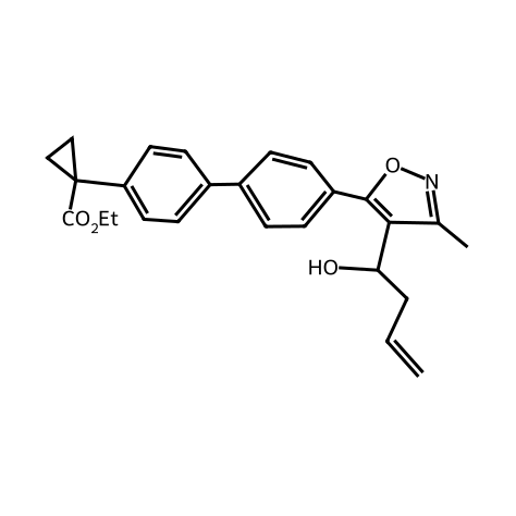 C=CCC(O)c1c(C)noc1-c1ccc(-c2ccc(C3(C(=O)OCC)CC3)cc2)cc1